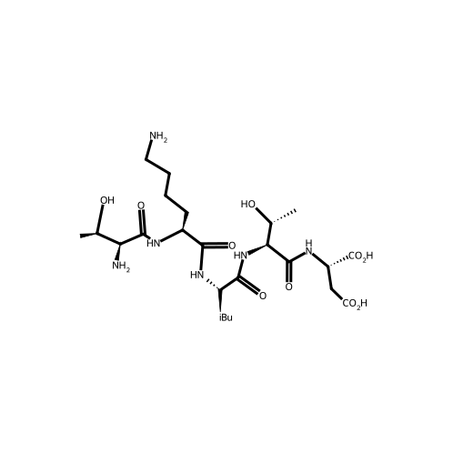 CC[C@H](C)[C@H](NC(=O)[C@H](CCCCN)NC(=O)[C@@H](N)[C@@H](C)O)C(=O)N[C@H](C(=O)N[C@@H](CC(=O)O)C(=O)O)[C@@H](C)O